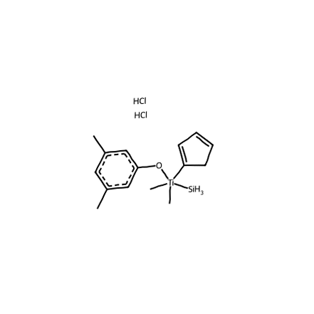 Cc1cc(C)cc([O][Ti]([CH3])([CH3])([SiH3])[C]2=CC=CC2)c1.Cl.Cl